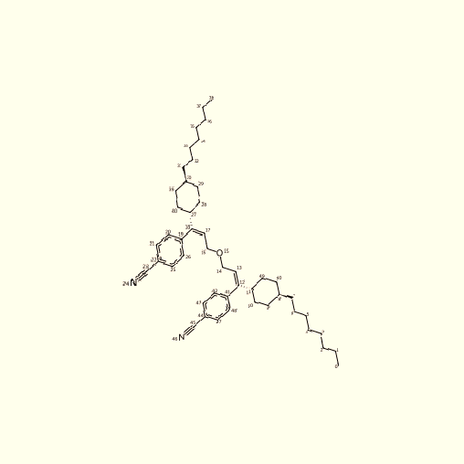 CCCCCCCC[C@H]1CC[C@H](C(=CCOCC=C(c2ccc(C#N)cc2)[C@H]2CC[C@H](CCCCCCCC)CC2)c2ccc(C#N)cc2)CC1